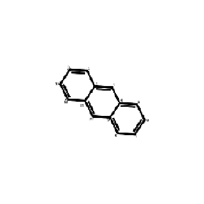 [c]1[c]c2cc3ccccc3cc2[c]c1